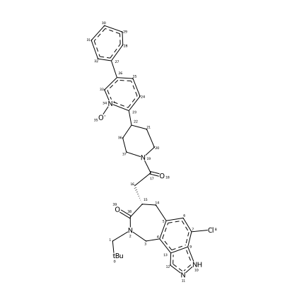 CC(C)(C)CN1Cc2c(cc(Cl)c3[nH]ncc23)C[C@@H](CC(=O)N2CCC(c3ccc(-c4ccccc4)c[n+]3[O-])CC2)C1=O